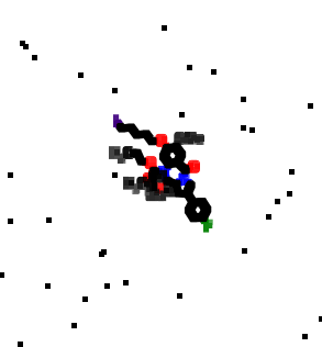 C=CCOC(=O)N1c2cc(OCCCCCI)c(OC)cc2C(=O)N2C=C(c3ccc(F)cc3)C[C@H]2[C@@H]1O[Si](C)(C)C(C)(C)C